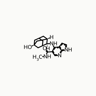 CNC(=O)c1cnc2[nH]ccc2c1N[C@H]1C2CC3C[C@H]1C[C@@](O)(C3)C2